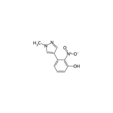 Cn1cc(-c2cccc(O)c2[N+](=O)[O-])cn1